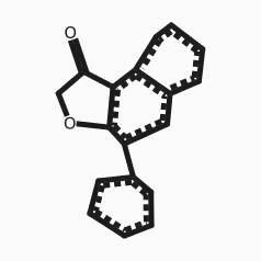 O=C1COc2c(-c3ccccc3)cc3ccccc3c21